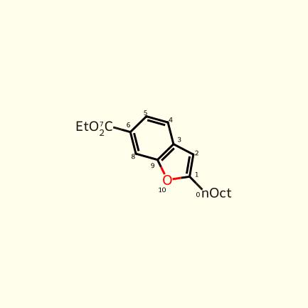 CCCCCCCCc1cc2ccc(C(=O)OCC)cc2o1